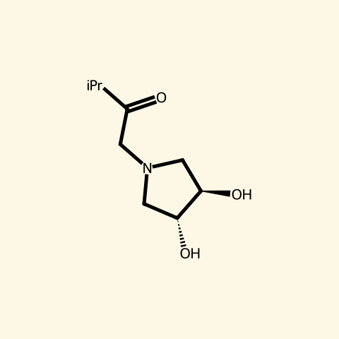 CC(C)C(=O)CN1C[C@@H](O)[C@H](O)C1